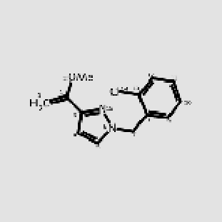 C=C(OC)c1ccn(Cc2ccccc2Cl)n1